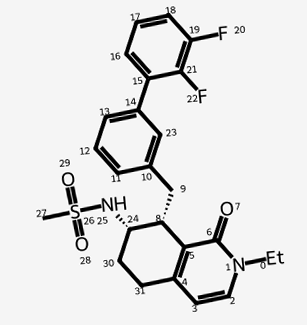 CCn1ccc2c(c1=O)[C@@H](Cc1cccc(-c3cccc(F)c3F)c1)[C@@H](NS(C)(=O)=O)CC2